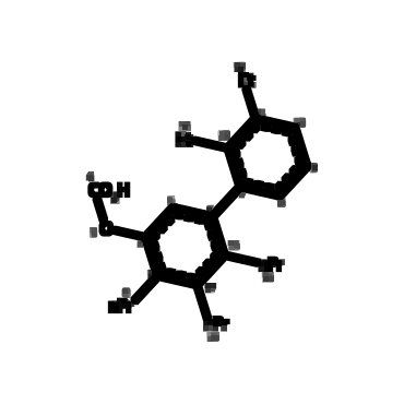 CCCc1c(OC(=O)O)cc(-c2cccc(CC)c2CC)c(CCC)c1CCC